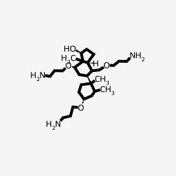 CC1C[C@H](OCCCN)CCC1(C)[C@H]1C[C@H](OCCCN)C2(C)[C@@H](O)CC[C@H]2C1COCCCN